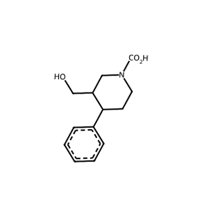 O=C(O)N1CCC(c2ccccc2)C(CO)C1